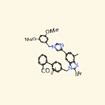 CCCc1nc2c(C)cc(-c3cn(Cc4cc(OC)cc(OC)c4)cn3)cc2n1Cc1ccc(-c2ccccc2C(=O)O)cc1